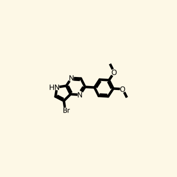 COc1ccc(-c2cnc3[nH]cc(Br)c3n2)cc1OC